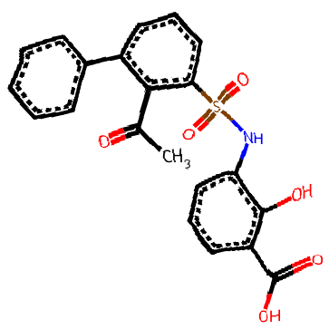 CC(=O)c1c(-c2ccccc2)cccc1S(=O)(=O)Nc1cccc(C(=O)O)c1O